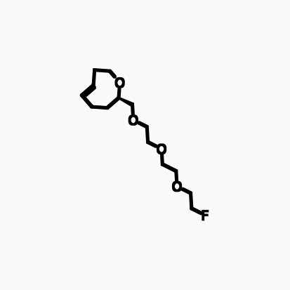 FCCOCCOCCOC[C@H]1CC/C=C/CCO1